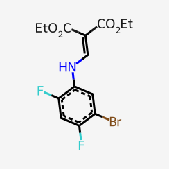 CCOC(=O)C(=CNc1cc(Br)c(F)cc1F)C(=O)OCC